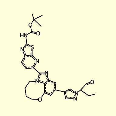 CCC(C=O)n1cc(-c2cc3c4c(c2)nc(-c2ccc5nc(NC(=O)OC(C)(C)C)sc5n2)n4CCCCO3)cn1